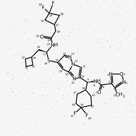 Cc1nonc1C(=O)N[C@H](c1cn2ncc(S[C@@H](CC3CCC3)NC(=O)CC3CC(F)(F)C3)cc2n1)C1CCC(F)(F)CC1